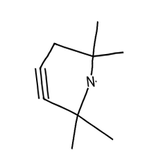 CC1(C)C#CCC(C)(C)[N]1